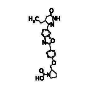 CCC1CC(=O)NN=C1c1ccc2nc(-c3ccc(OC[C@H]4CCCN4C(=O)O)cc3)oc2c1